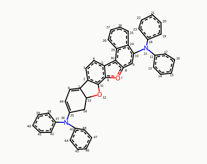 C1=C2c3ccc4c(oc5cc(N(c6ccccc6)c6ccccc6)c6ccccc6c54)c3OC2CC(N(c2ccccc2)c2ccccc2)=C1